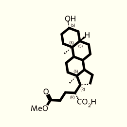 COC(=O)CC[C@@H](C(=O)O)[C@H]1CCC2C3CC[C@H]4C[C@@H](O)CC[C@]4(C)C3CC[C@@]21C